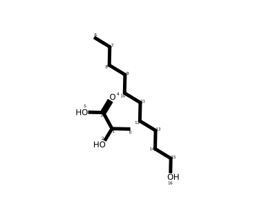 CC(O)C(=O)O.CCCCCCCCCCO